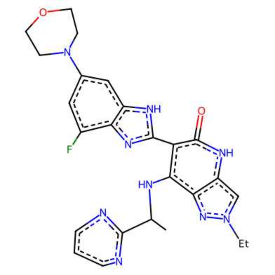 CCn1cc2[nH]c(=O)c(-c3nc4c(F)cc(N5CCOCC5)cc4[nH]3)c(NC(C)c3ncccn3)c2n1